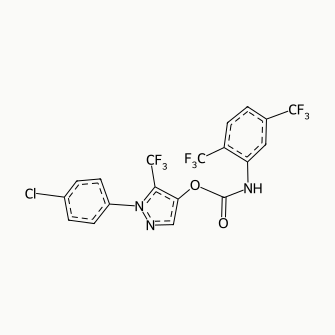 O=C(Nc1cc(C(F)(F)F)ccc1C(F)(F)F)Oc1cnn(-c2ccc(Cl)cc2)c1C(F)(F)F